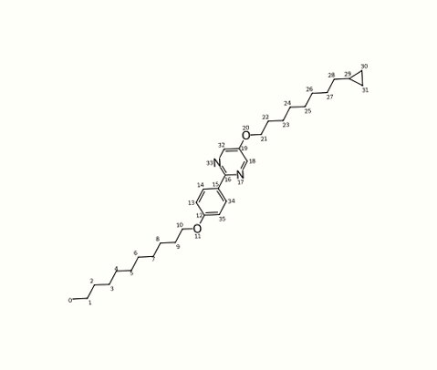 CCCCCCCCCCCOc1ccc(-c2ncc(OCCCCCCCCC3CC3)cn2)cc1